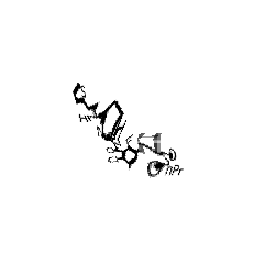 CCCS(=O)(=O)Nc1ccc(Cl)c(C(=O)Nc2ccc(NCc3cccs3)nc2)c1F